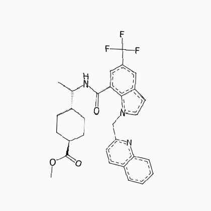 COC(=O)[C@H]1CC[C@H](C(C)NC(=O)c2cc(C(F)(F)F)cc3ccn(Cc4ccc5ccccc5n4)c23)CC1